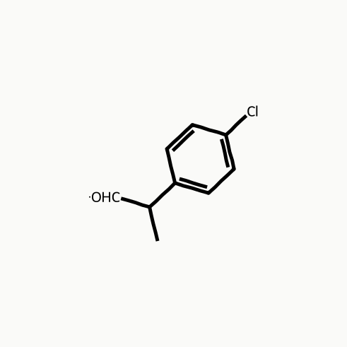 CC([C]=O)c1ccc(Cl)cc1